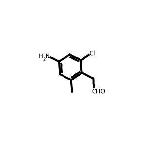 Cc1cc(N)cc(Cl)c1CC=O